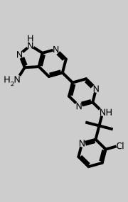 CC(C)(Nc1ncc(-c2cnc3[nH]nc(N)c3c2)cn1)c1ncccc1Cl